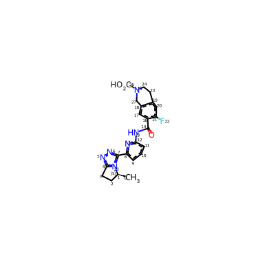 C[C@H]1CCc2nnc(-c3cccc(NC(=O)c4cc5c(cc4F)CCN(C(=O)O)C5)n3)n21